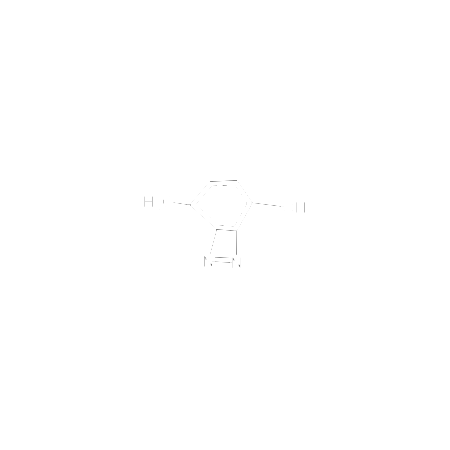 Cc1ccc(O)c2c1N=N2